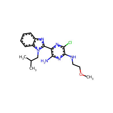 COCCNc1nc(N)c(-c2nc3ccccc3n2CC(C)C)nc1Cl